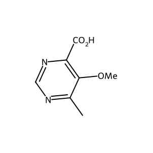 COc1c(C)ncnc1C(=O)O